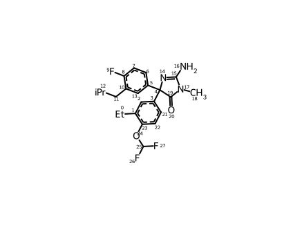 CCc1cc(C2(c3ccc(F)c(CC(C)C)c3)N=C(N)N(C)C2=O)ccc1OC(F)F